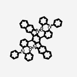 c1ccc(N2c3ccccc3B3c4c(cccc42)-c2c4c5cc6ccccc6cc5n5c4c(c4c6cc7ccccc7cc6n3c24)-c2cccc3c2B5c2ccccc2N3c2ccccc2)cc1